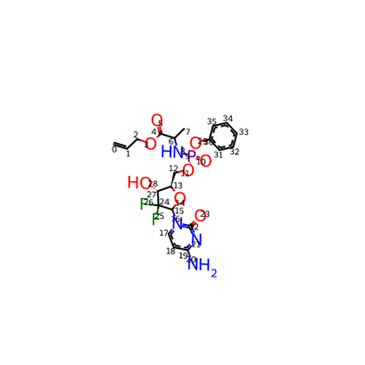 C=CCOC(=O)C(C)NP(=O)(OC[C@H]1OC(n2ccc(N)nc2=O)C(F)(F)[C@@H]1O)Oc1ccccc1